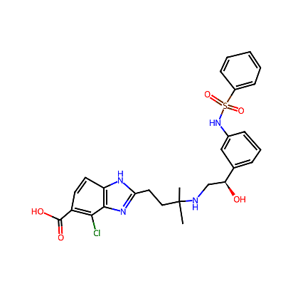 CC(C)(CCc1nc2c(Cl)c(C(=O)O)ccc2[nH]1)NC[C@H](O)c1cccc(NS(=O)(=O)c2ccccc2)c1